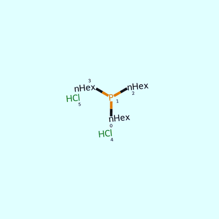 CCCCCCP(CCCCCC)CCCCCC.Cl.Cl